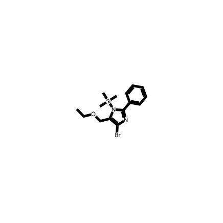 CCOCc1c(Br)nc(-c2ccccc2)n1[Si](C)(C)C